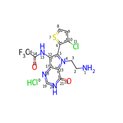 Cl.NCCn1c(-c2sccc2Cl)c(NC(=O)C(F)(F)F)c2nc[nH]c(=O)c21